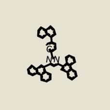 c1ccc2c(-c3ccc(-c4nc(-c5cc6ccccc6c6ccccc56)cc(-c5cc6ccccc6c6ccccc56)n4)cc3)cccc2c1